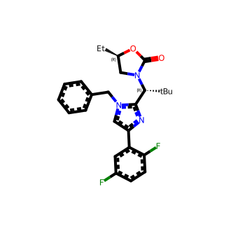 CC[C@@H]1CN([C@@H](c2nc(-c3cc(F)ccc3F)cn2Cc2ccccc2)C(C)(C)C)C(=O)O1